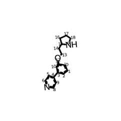 [c]1ccc(-c2ccncc2)cc1OCCC1CCCN1